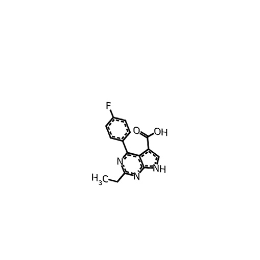 CCc1nc(-c2ccc(F)cc2)c2c(C(=O)O)c[nH]c2n1